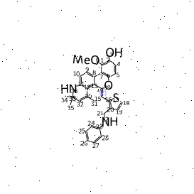 COc1c(O)ccc2c1-c1ccc3c(c1/C(=C/c1sccc1CNc1ccccc1)O2)C(C)=CC(C)(C)N3